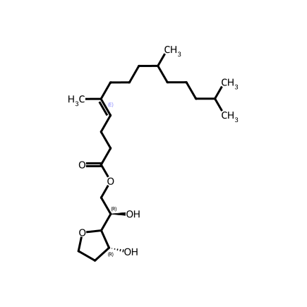 C/C(=C\CCC(=O)OC[C@@H](O)C1OCC[C@H]1O)CCCC(C)CCCC(C)C